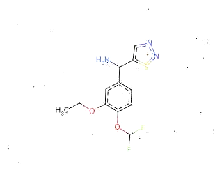 CCOc1cc(C(N)c2cnns2)ccc1OC(F)F